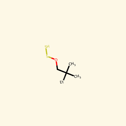 CCC(C)(C)COSS